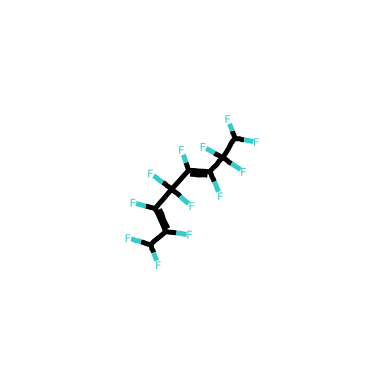 FC(=C(F)C(F)(F)C(F)=C(F)C(F)(F)C(F)F)C(F)F